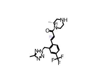 Cc1nnn(Cc2cc(C(F)(F)F)ccc2/C=C/C(=O)N2CCNC[C@H]2C)n1